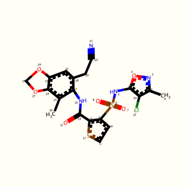 Cc1noc(NS(=O)(=O)c2ccsc2C(=O)Nc2c(CC#N)cc3c(c2C)OCO3)c1Cl